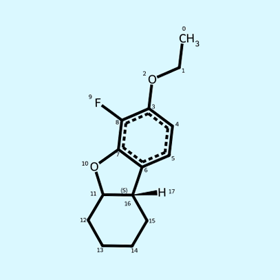 CCOc1ccc2c(c1F)OC1CCCC[C@@H]21